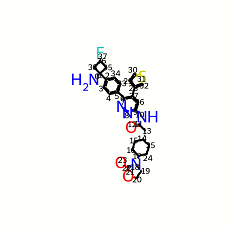 NC1(c2ccc(-c3nnc(NC(=O)C[C@H]4CC[C@H](N5CCOC5=O)CC4)cc3-c3ccsc3)cc2)CC(F)C1